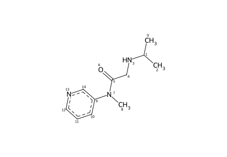 CC(C)NCC(=O)N(C)c1cccnc1